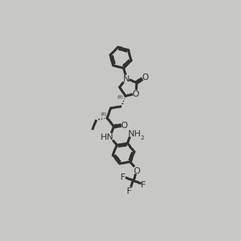 CC[C@H](CC[C@@H]1CN(c2ccccc2)C(=O)O1)C(=O)Nc1ccc(OC(F)(F)F)cc1N